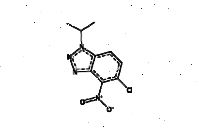 CC(C)n1nnc2c([N+](=O)[O-])c(Cl)ccc21